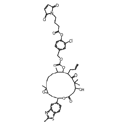 C=CCC1C(=O)C(C)(C)C(O)CC(=O)OC(c2ccc3sc(C)nc3c2)CC2OC2(C)CCCC(C)C1OC(=O)OCc1ccc(OC(=O)CCCN2C(=O)C=CC2=O)c(Cl)c1